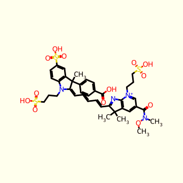 CON(C)C(=O)c1cc2c([n+](CCCS(=O)(=O)O)c1)N=C(/C=C/C=C/C=C1/N(CCCS(=O)(=O)O)c3ccc(S(=O)(=O)O)cc3C1(C)c1ccc(C(=O)O)cc1)C2(C)C